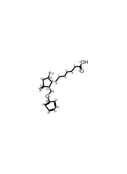 O=C(O)CCCCCC[C@H]1C(F)CC(=S)[C@@H]1COc1ccccc1